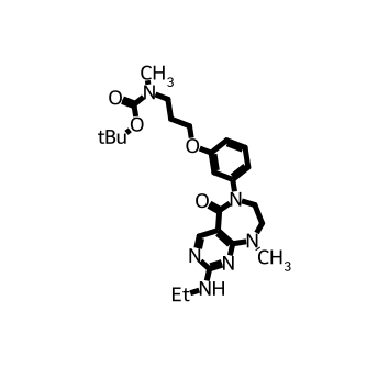 CCNc1ncc2c(n1)N(C)CCN(c1cccc(OCCCN(C)C(=O)OC(C)(C)C)c1)C2=O